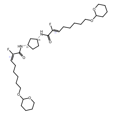 O=C(N[C@@H]1CC[C@H](NC(=O)/C(F)=C\CCCCCOC2CCCCO2)C1)/C(F)=C/CCCCCOC1CCCCO1